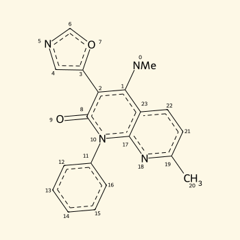 CNc1c(-c2cnco2)c(=O)n(-c2ccccc2)c2nc(C)ccc12